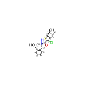 Cc1ccc2c(Cl)c(C(=O)NC(Cc3ccccc3)C(=O)O)sc2c1